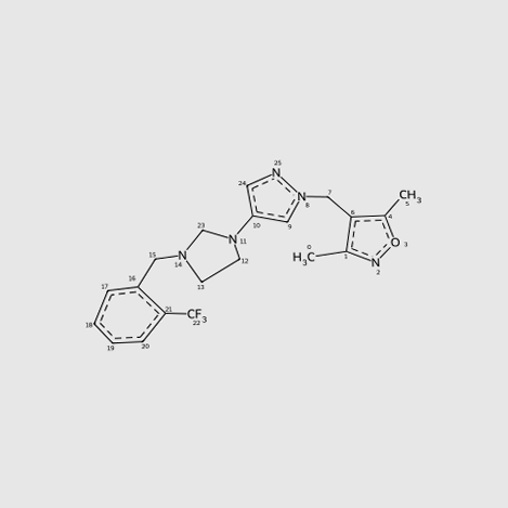 Cc1noc(C)c1Cn1cc(N2CCN(Cc3ccccc3C(F)(F)F)C2)cn1